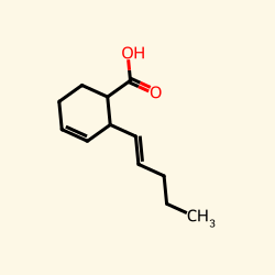 CCCC=CC1C=CCCC1C(=O)O